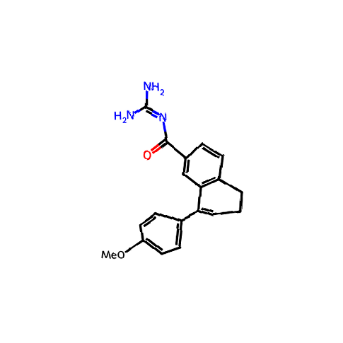 COc1ccc(C2=CCCc3ccc(C(=O)N=C(N)N)cc32)cc1